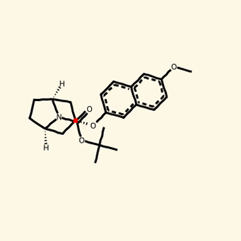 COc1ccc2cc(O[C@@H]3C[C@H]4CC[C@@H](C3)N4C(=O)OC(C)(C)C)ccc2c1